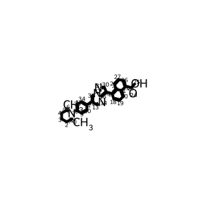 C[C@@H]1CCC[C@H](C)N1c1ccc(-c2cnc3c(-c4cccc5c(C(=O)O)cccc45)cnn3c2)cc1